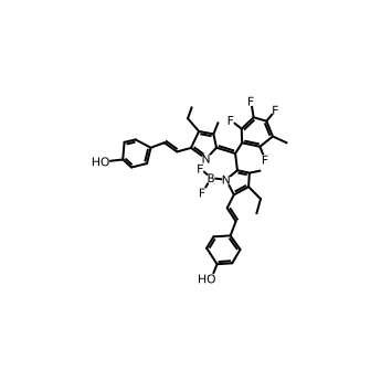 CCC1=C(C)/C(=C(\c2c(F)c(C)c(F)c(F)c2F)c2c(C)c(CC)c(/C=C/c3ccc(O)cc3)n2B(F)F)N=C1/C=C/c1ccc(O)cc1